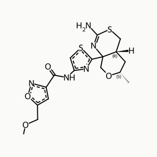 COCc1cc(C(=O)Nc2csc(C34CO[C@@H](C)C[C@H]3CSC(N)=N4)n2)no1